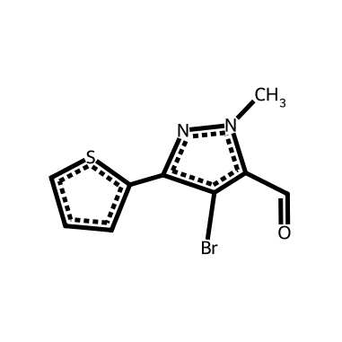 Cn1nc(-c2cccs2)c(Br)c1C=O